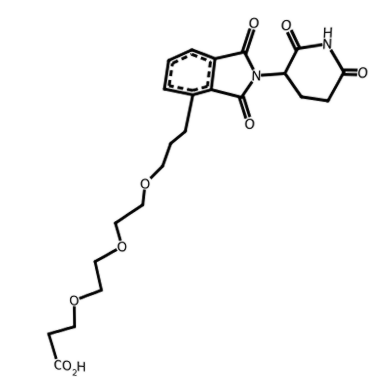 O=C(O)CCOCCOCCOCCCc1cccc2c1C(=O)N(C1CCC(=O)NC1=O)C2=O